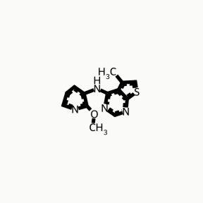 COc1ncccc1Nc1ncnc2scc(C)c12